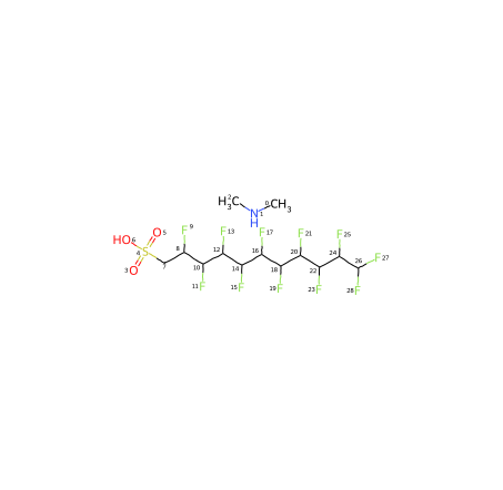 CNC.O=S(=O)(O)CC(F)C(F)C(F)C(F)C(F)C(F)C(F)C(F)C(F)C(F)F